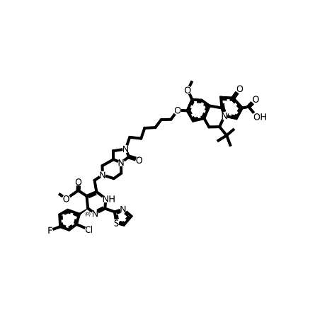 COC(=O)C1=C(CN2CCN3C(=O)N(CCCCCCOc4cc5c(cc4OC)-c4cc(=O)c(C(=O)O)cn4C(C(C)(C)C)C5)CC3C2)NC(c2nccs2)=N[C@H]1c1ccc(F)cc1Cl